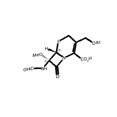 CO[C@@]1(NC=O)C(=O)N2C(C(=O)O)=C(COC(C)=O)CS[C@H]21